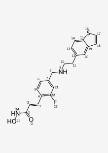 O=C(/C=C/c1ccc(CNCCc2ccc3sccc3c2)cc1F)NO